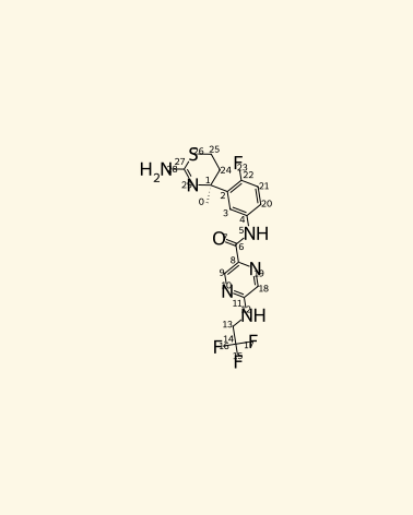 C[C@@]1(c2cc(NC(=O)c3cnc(NCC(F)(F)F)cn3)ccc2F)CCSC(N)=N1